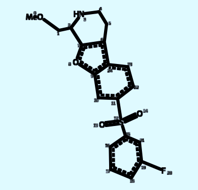 COCC1NCCc2c1oc1cc(S(=O)(=O)c3cccc(F)c3)ccc21